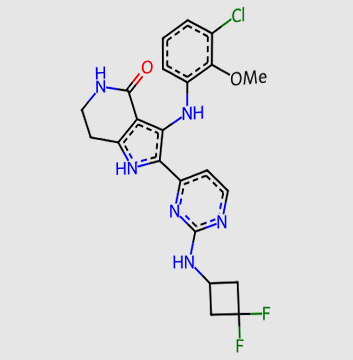 COc1c(Cl)cccc1Nc1c(-c2ccnc(NC3CC(F)(F)C3)n2)[nH]c2c1C(=O)NCC2